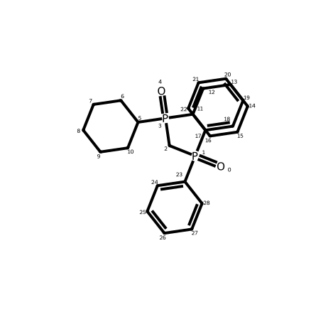 O=P(CP(=O)(C1CCCCC1)C1CCCCC1)(c1ccccc1)c1ccccc1